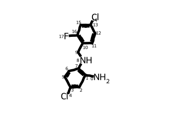 Nc1cc(Cl)ccc1NCc1ccc(Cl)cc1F